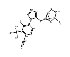 Cc1c(-n2nnnc2CN2C[C@@H]3CC2CO3)ccc(C#N)c1C(F)(F)F